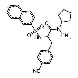 CN(C(=O)C(Cc1ccc(C#N)cc1)NS(=O)(=O)c1ccc2ccccc2c1)C1CCCC1